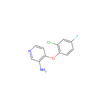 Nc1cnccc1Oc1ccc(F)cc1Cl